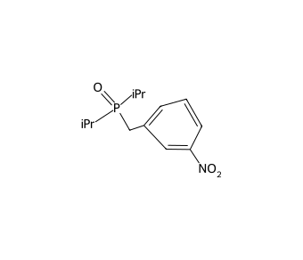 CC(C)P(=O)(Cc1cccc([N+](=O)[O-])c1)C(C)C